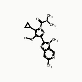 CCSc1c(-c2nc3cc(C(F)(F)F)ncc3n2C)nn(C(=O)N(C)C)c1C1CC1